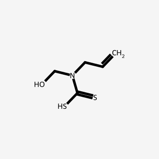 C=CCN(CO)C(=S)S